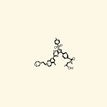 Cc1ccc(S(=O)(=O)n2cc(-c3ccc(C(=O)N(C)C[C@H](C)O)cc3)c3nc(-c4cc(C)c5c(c4)CN(CCN4CCOCC4)CC5)cnc32)cc1